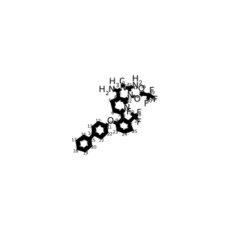 CN1C(N)c2ccc(-c3c(Oc4ccc(-c5ccccc5)cc4)cccc3C(F)(F)F)nc2N(OC(=O)C(F)(F)F)C1N